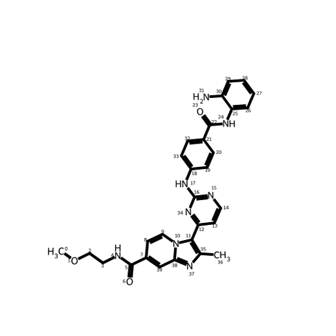 COCCNC(=O)c1ccn2c(-c3ccnc(Nc4ccc(C(=O)Nc5ccccc5N)cc4)n3)c(C)nc2c1